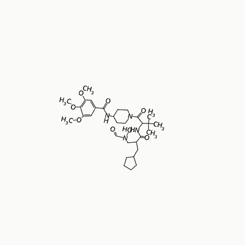 COc1cc(C(=O)NC2CCN(C(=O)C(NC(=O)C(CC3CCCC3)CN(O)C=O)C(C)(C)C)CC2)cc(OC)c1OC